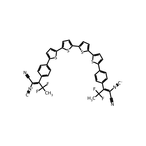 [C-]#[N+]/C(C#N)=C(/c1ccc(-c2ccc(-c3ccc(-c4ccc(-c5ccc(-c6ccc(/C(=C(/C#N)[N+]#[C-])C(C)(F)F)cc6)s5)s4)s3)s2)cc1)C(C)(F)F